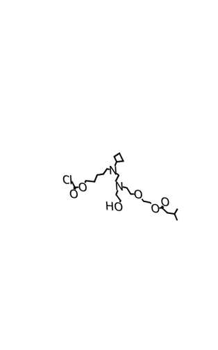 CC(C)CC(=O)OCCOCCN(CCO)CCN(CCCCCOC(=O)Cl)C1CCC1